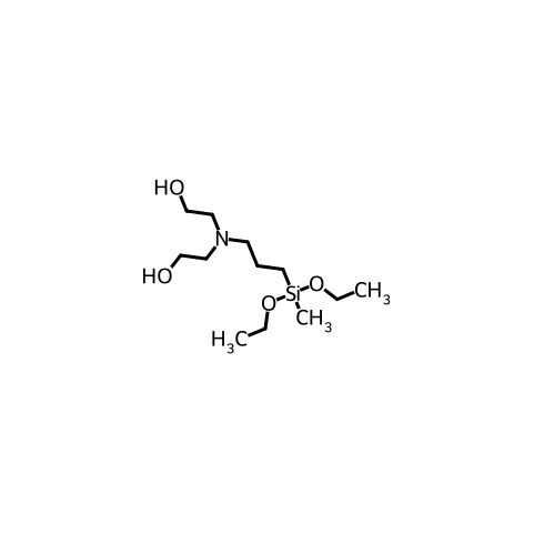 CCO[Si](C)(CCCN(CCO)CCO)OCC